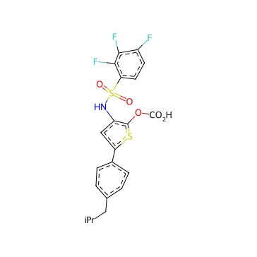 CC(C)Cc1ccc(-c2cc(NS(=O)(=O)c3ccc(F)c(F)c3F)c(OC(=O)O)s2)cc1